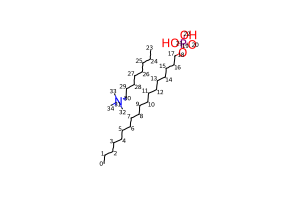 CCCCCCCCCCCCCCCCCCOP(=O)(O)O.CCCCCCCC[N+](C)(C)C